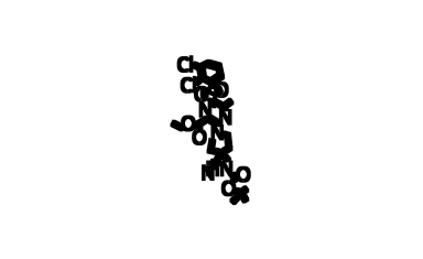 CCOC(=O)c1nc(S(=O)(=O)c2cccc(Cl)c2Cl)c(C)nc1N1CCC(C#N)(CNC(=O)OC(C)(C)C)CC1